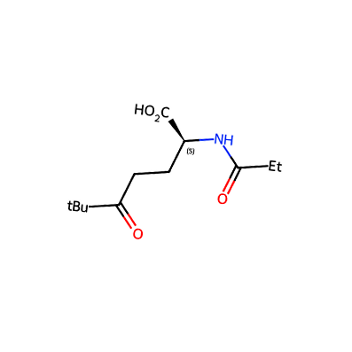 CCC(=O)N[C@@H](CCC(=O)C(C)(C)C)C(=O)O